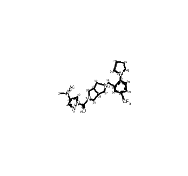 CC(=O)N(C)c1cnn(C(=O)N2CC3CN(Cc4cc(C(F)(F)F)ccc4N4CCCC4)CC3C2)c1